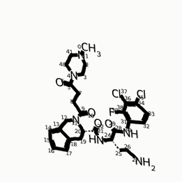 CN1CCN(C(=O)CCC(=O)N2Cc3ccccc3C[C@H]2C(=O)N[C@@H](CCN)C(=O)Nc2ccc(Cl)c(Cl)c2F)CC1